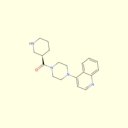 O=C([C@@H]1CCCNC1)N1CCN(c2ccnc3ccccc23)CC1